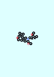 CC1(C)c2cc(N(c3ccc4c(c3)C3(c5ccccc5-c5ccccc53)c3cc5c(cc3-4)C3(c4ccccc4-c4ccccc43)c3ccc4oc6ccccc6c4c3-5)c3ccc4oc5ccccc5c4c3)ccc2-c2c1c1c(c3c2oc2ccccc23)-c2ccccc2C1(C)C